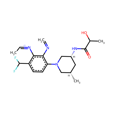 C=Nc1c(N2C[C@@H](C)C[C@@H](NC(=O)C(C)O)C2)ccc(C(F)F)c1/N=C\C